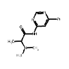 CC(C)c1cc(NC(=O)C(C)N(C)C)ncn1